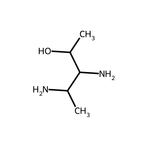 CC(N)C(N)C(C)O